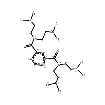 CCN(CC)CCN(CCN(CC)CC)C(=O)c1cc(C(=O)N(CCN(CC)CC)CCN(CC)CC)ncn1